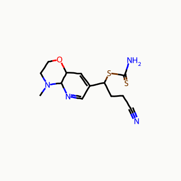 CN1CCOC2C=C(C(CCC#N)SC(N)=S)C=NC21